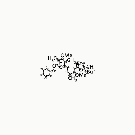 CC[C@H](C[C@H](OC)[C@@H](C)CC[C@@H](O)[C@H](C)[C@H](OC)[C@H](C)COCc1ccccc1)O[Si](C)(C)C(C)(C)C